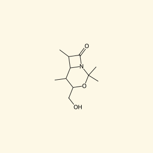 CC1C(=O)N2C1C(C)C(CO)OC2(C)C